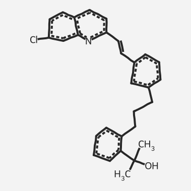 CC(C)(O)c1ccccc1CCCc1cccc(C=Cc2ccc3ccc(Cl)cc3n2)c1